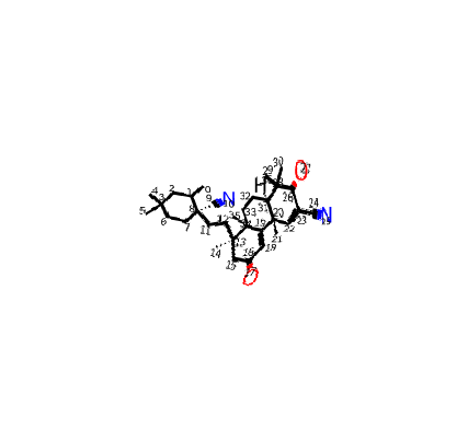 CC1CC(C)(C)CC[C@]1(C#N)CC[C@]1(C)CC(=O)C=C2[C@@]3(C)C=C(C#N)C(=O)C(C)(C)[C@@H]3CC[C@]21C